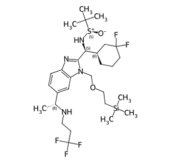 C[C@@H](NCCC(F)(F)F)c1ccc2nc([C@@H](N[S@+]([O-])C(C)(C)C)[C@@H]3CCCC(F)(F)C3)n(COCC[Si](C)(C)C)c2c1